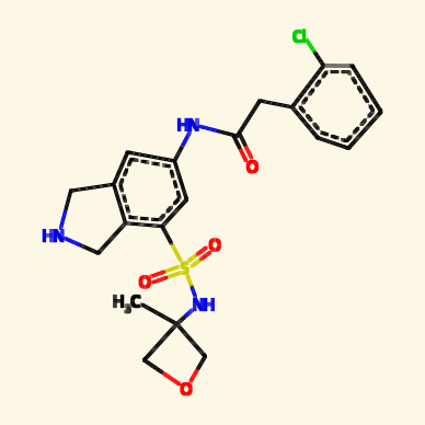 CC1(NS(=O)(=O)c2cc(NC(=O)Cc3ccccc3Cl)cc3c2CNC3)COC1